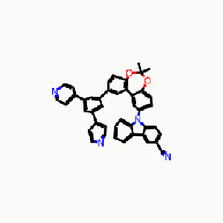 CC1(C)Oc2ccc(-c3cc(-c4ccncc4)cc(-c4ccncc4)c3)cc2-c2cc(-n3c4ccccc4c4cc(C#N)ccc43)ccc2O1